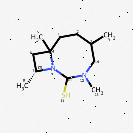 CC1CCC2(C)C[C@@H](C)N2C(S)N(C)C1